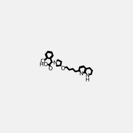 O=C(O)[C@H](c1ccccc1Cl)N1CC[C@@H](OCCCCc2ccc3c(n2)NCCC3)C1